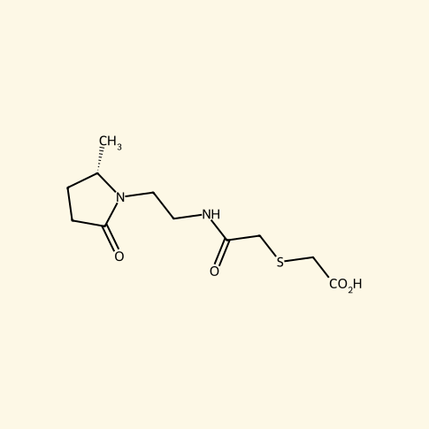 C[C@H]1CCC(=O)N1CCNC(=O)CSCC(=O)O